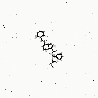 COC(=O)C[C@H](NC(=O)c1c(C)nc2c(OCc3c(F)cccc3F)cccn12)c1ccccc1